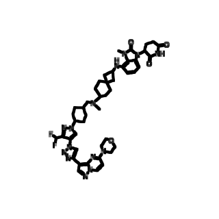 CN(CC1CCC(n2cc(-n3cc(-c4cnn5ccc(N6CCOCC6)nc45)nn3)c(C(F)F)n2)CC1)C1CCC2(CC1)CC(Nc1cccc3c1n(C)c(=O)n3C1CCC(=O)NC1=O)C2